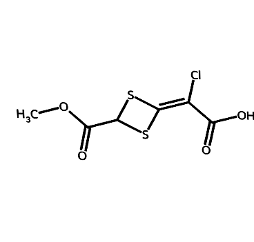 COC(=O)C1SC(=C(Cl)C(=O)O)S1